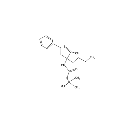 CCCCC(CCc1ccccc1)(NC(=O)OC(C)(C)C)C(O)=S